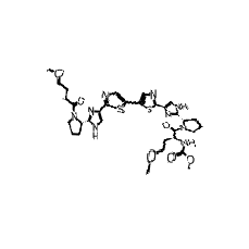 COCC[CH]C(=O)N1CCC[C@H]1c1nc(-c2ncc(-c3cnc(-c4c[nH]c([C@@H]5CCCN5C(=O)[C@H](CCOC)NC(=O)OC)n4)s3)s2)c[nH]1